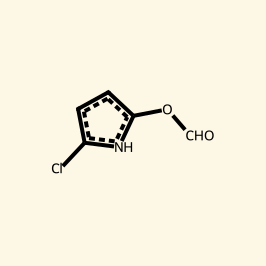 O=COc1ccc(Cl)[nH]1